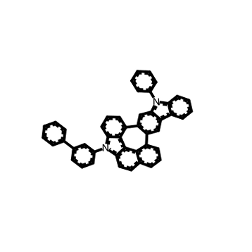 c1ccc(-c2cccc(-n3c4cccc5c4c4c6c(cccc6ccc43)-c3cc4c6ccccc6n(-c6ccccc6)c4cc3-5)c2)cc1